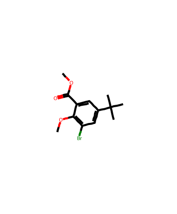 COC(=O)c1cc(C(C)(C)C)cc(Br)c1OC